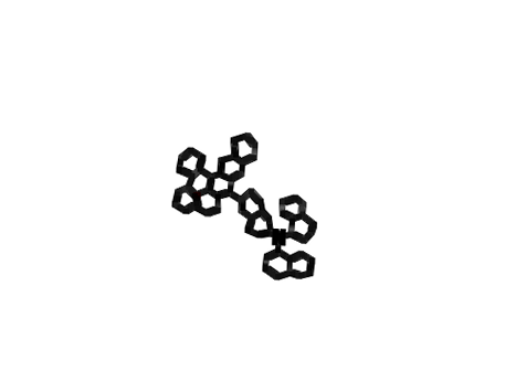 c1ccc(-c2ccccc2-c2c3ccccc3c(-c3ccc4cc(N(c5cccc6ccccc56)c5cccc6ccccc56)ccc4c3)c3cc4ccccc4cc23)cc1